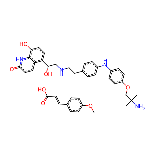 CC(C)(N)COc1ccc(Nc2ccc(CCNC[C@H](O)c3ccc(O)c4[nH]c(=O)ccc34)cc2)cc1.COc1ccc(C=CC(=O)O)cc1